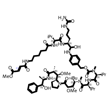 CC[C@H](C)[C@@H]([C@@H](CC(=O)N1CCC[C@H]1[C@H](OC)[C@@H](C)C(=O)N[C@H](C)[C@@H](O)c1ccccc1)OC)N(C)C(=O)[C@@H](NC(=O)[C@H](C(C)C)N(C)C(=O)OCc1ccc(NC(O)[C@H](CCCNC(N)=O)NC(=O)[C@@H](NC(=O)CCCCCNC(=O)/C=C/C(=O)OC)C(C)C)cc1)C(C)C